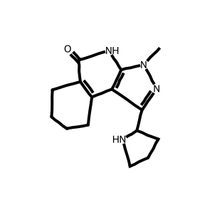 Cn1nc(C2CCCN2)c2c3c(c(=O)[nH]c21)CCCC3